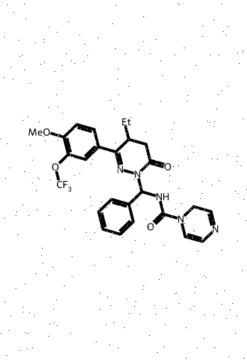 CCC1CC(=O)N(C(NC(=O)N2C=CN=CC2)c2ccccc2)N=C1c1ccc(OC)c(OC(F)(F)F)c1